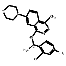 Cc1ccc([C@@H](C)Nc2nnc(C)c3ccc(N4CCOCC4)cc23)c(Cl)c1